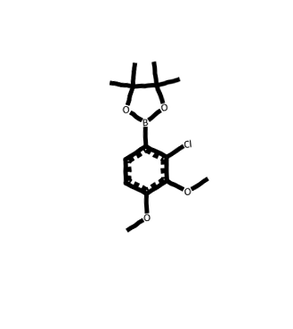 COc1ccc(B2OC(C)(C)C(C)(C)O2)c(Cl)c1OC